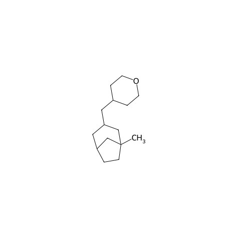 CC12CCC(CC(CC3CCOCC3)C1)C2